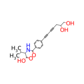 CC(C)C(NC(=O)c1ccc(C#CC#CCC(O)CO)cc1)C(=O)O